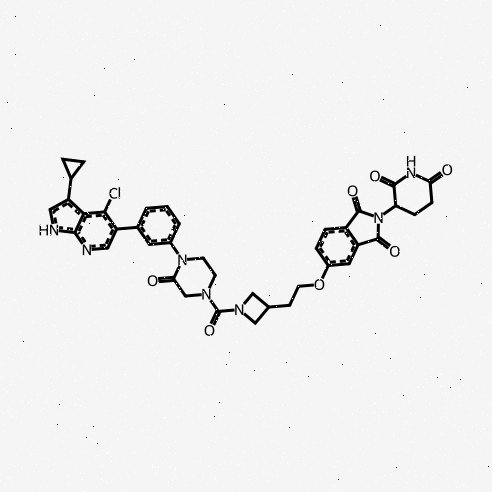 O=C1CCC(N2C(=O)c3ccc(OCCC4CN(C(=O)N5CCN(c6cccc(-c7cnc8[nH]cc(C9CC9)c8c7Cl)c6)C(=O)C5)C4)cc3C2=O)C(=O)N1